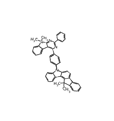 CC1(C)c2ccccc2-c2ccc3c(c21)c1ccccc1n3-c1ccc(-c2nc(-c3ccccc3)nc3c2-c2ccccc2[Si]3(C)C)cc1